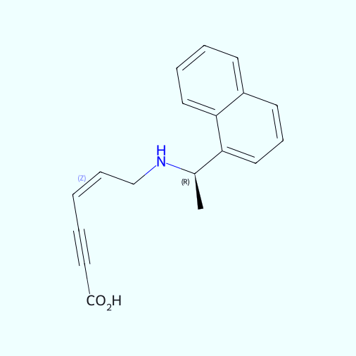 C[C@@H](NC/C=C\C#CC(=O)O)c1cccc2ccccc12